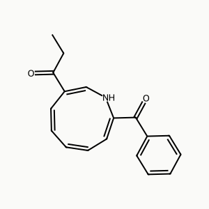 CCC(=O)c1cccccc(C(=O)c2ccccc2)[nH]c1